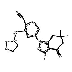 Cc1nn(-c2ccc(C#N)c(N[C@H]3CCOC3)c2)c2c1C(=O)CC(C)(C)C2